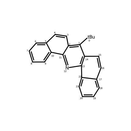 CC(C)(C)c1c2ccc3ccccc3c2nc2c1ccc1ccccc12